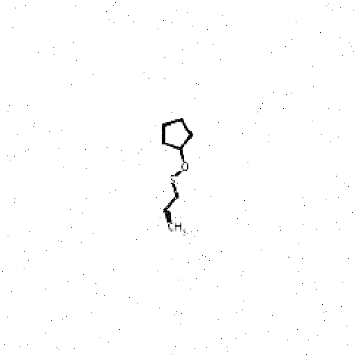 C=CCSOC1CCCC1